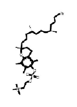 Cc1c(C)c2c(c(C)c1OP(=O)([O-])OCC[N+](C)(C)C)CC[C@@](C)(CCC[C@H](C)CCC[C@H](C)CCCC(C)C)O2